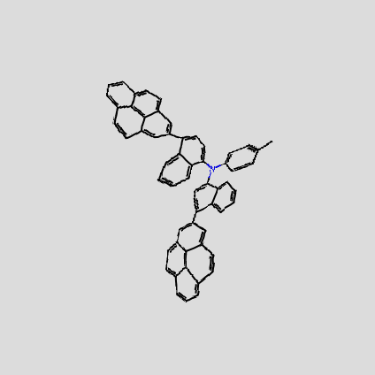 Cc1ccc(N(c2ccc(-c3cc4ccc5cccc6ccc(c3)c4c56)c3ccccc23)c2ccc(-c3cc4ccc5cccc6ccc(c3)c4c56)c3ccccc23)cc1